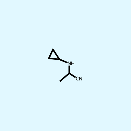 CC(C#N)NC1CC1